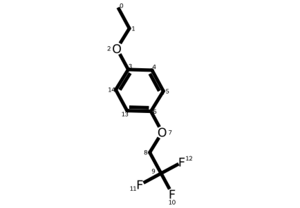 CCOc1c[c]c(OCC(F)(F)F)cc1